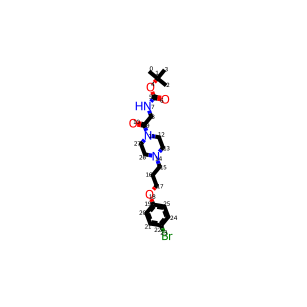 CC(C)(C)OC(=O)NCC(=O)N1CCN(CCCOc2ccc(Br)cc2)CC1